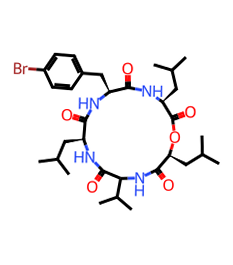 CC(C)C[C@@H]1NC(=O)C(C(C)C)NC(=O)[C@H](CC(C)C)OC(=O)[C@H](CC(C)C)NC(=O)[C@H](Cc2ccc(Br)cc2)NC1=O